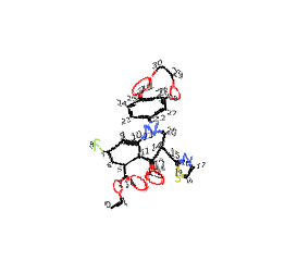 CCOC(=O)C1CC(F)C=C2C1C(=O)C(c1nccs1)CN2c1ccc2c(c1)OCCO2